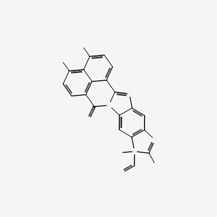 O=[C][N+]1(O)C(O)=Nc2cc3nc4c5ccc(O)c6c(O)ccc(c(=O)n4c3cc21)c65